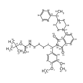 COc1ccc(C(CCCCNC(=O)OC(C)(C)C)N2C(=O)c3cccc(N4CCN(C(C)c5ccccc5)CC4)c3C2=O)cc1OC